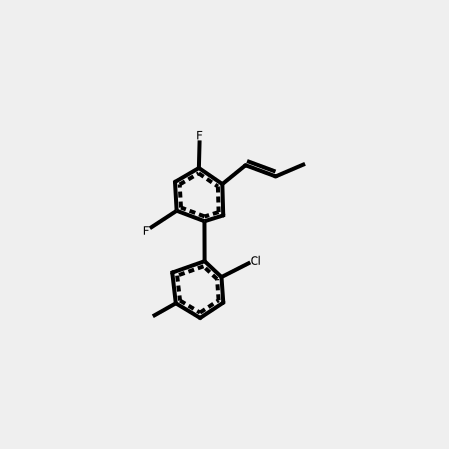 CC=Cc1cc(-c2cc(C)ccc2Cl)c(F)cc1F